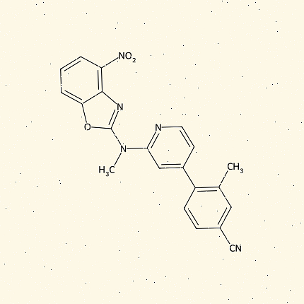 Cc1cc(C#N)ccc1-c1ccnc(N(C)c2nc3c([N+](=O)[O-])cccc3o2)c1